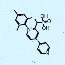 Cc1cc(C)c(-[n+]2ccc(-c3ccncc3)cc2C(C)P(=O)(O)O)c(C)c1